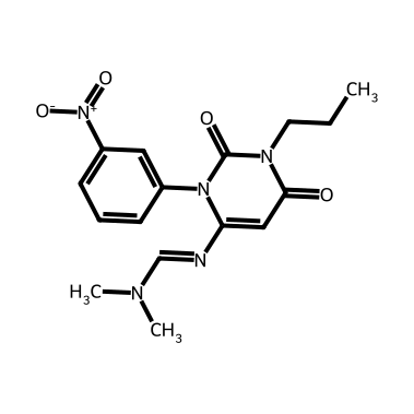 CCCn1c(=O)cc(/N=C/N(C)C)n(-c2cccc([N+](=O)[O-])c2)c1=O